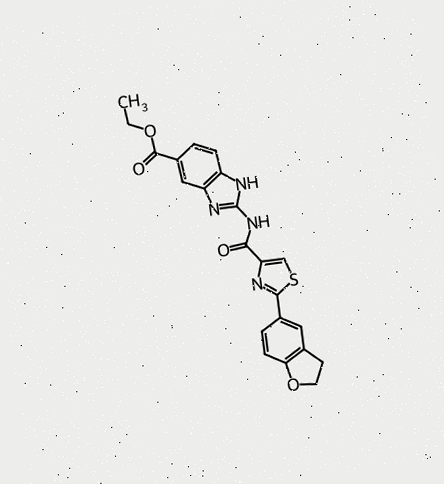 CCOC(=O)c1ccc2[nH]c(NC(=O)c3csc(-c4ccc5c(c4)CCO5)n3)nc2c1